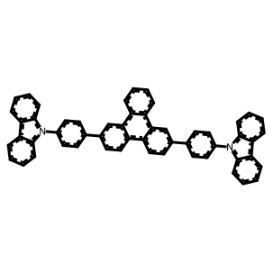 c1ccc2c(c1)c1cc(-c3ccc(-n4c5ccccc5c5ccccc54)cc3)ccc1c1ccc(-c3ccc(-n4c5ccccc5c5ccccc54)cc3)cc21